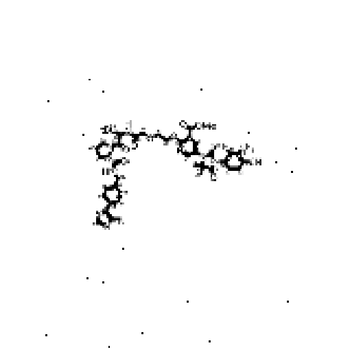 COC(=O)c1cc(N2C(=S)N(c3ccc(C#N)c(C(F)(F)F)c3F)C(=O)C2(C)C)cnc1OCCOCC(=O)NC(C(=O)N1CCC[C@H]1C(=O)NCc1ccc(-c2scnc2C)cc1)C(C)(C)C